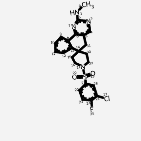 CNc1ncc2c(n1)-c1ccccc1C1(CCN(S(=O)(=O)c3ccc(F)c(Cl)c3)CC1)C2